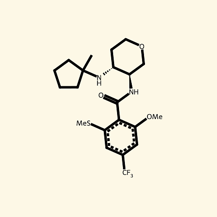 COc1cc(C(F)(F)F)cc(SC)c1C(=O)N[C@@H]1COCC[C@H]1NC1(C)CCCC1